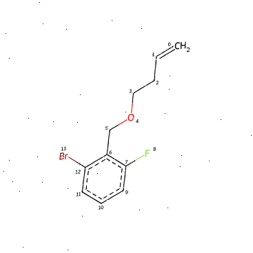 C=CCCOCc1c(F)cccc1Br